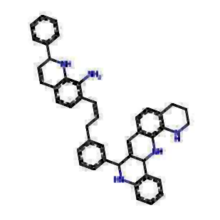 Nc1c(/C=C\Cc2cccc(C3Nc4ccccc4C4Nc5c(ccc6c5NCCC6)C=C34)c2)ccc2c1NC(c1ccccc1)C=C2